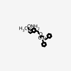 CC(=O)N1CCc2cc(CCOC(=O)CN(Cc3ccccc3)Cc3ccccc3)cc(N)c21